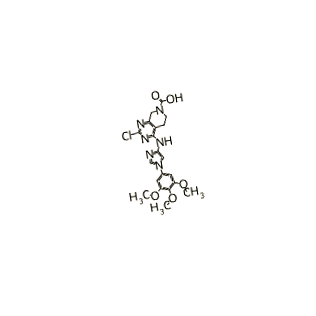 COc1cc(-n2cnc(Nc3nc(Cl)nc4c3CCN(C(=O)O)C4)c2)cc(OC)c1OC